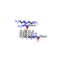 CC(=O)O.CC(=O)O.CC(=O)O.CC(=O)O.CC(=O)O.CCCCCCCCCC(=O)NN.CCCCCCCCCC(=O)NN.NCCNCCN